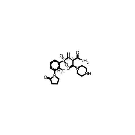 Cc1c(N2CCCC2=O)cccc1S(=O)(=O)N[C@@H](C(N)=O)C(=O)N1CCNCC1